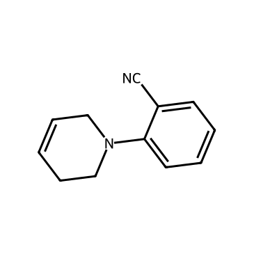 N#Cc1ccccc1N1CC=CCC1